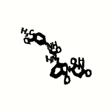 Cc1ccc(NCC(=O)NCc2cccc3c2CN(C2CCC(=O)NC2=O)C3=O)cc1Cl